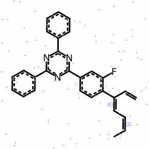 C=C/C(=C\C=C/C)c1ccc(-c2nc(-c3ccccc3)nc(-c3ccccc3)n2)cc1F